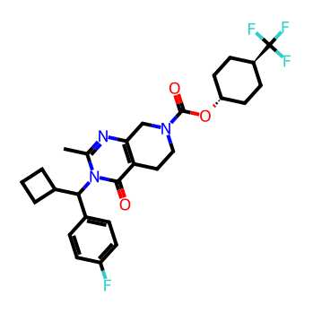 Cc1nc2c(c(=O)n1C(c1ccc(F)cc1)C1CCC1)CCN(C(=O)O[C@H]1CC[C@H](C(F)(F)F)CC1)C2